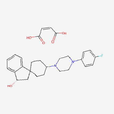 O=C(O)/C=C\C(=O)O.O[C@H]1CC2(CCC(N3CCN(c4ccc(F)cc4)CC3)CC2)c2ccccc21